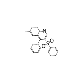 Cc1ccc2ncc(S(=O)(=O)c3ccccc3)c(-c3ccccc3)c2c1